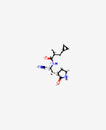 CC(CC1CC1)C(=O)N[C@H](C#N)C[C@@H]1CCNC1=O